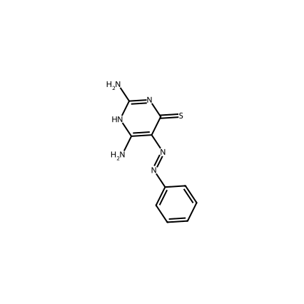 Nc1nc(=S)c(N=Nc2ccccc2)c(N)[nH]1